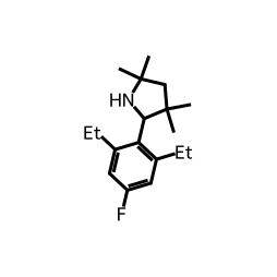 CCc1cc(F)cc(CC)c1C1NC(C)(C)CC1(C)C